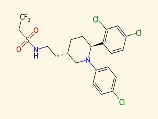 O=S(=O)(CC(F)(F)F)NCC[C@@H]1CC[C@@H](c2ccc(Cl)cc2Cl)N(c2ccc(Cl)cc2)C1